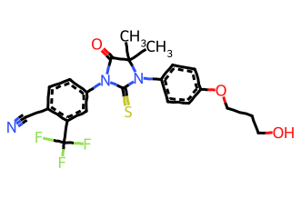 CC1(C)C(=O)N(c2ccc(C#N)c(C(F)(F)F)c2)C(=S)N1c1ccc(OCCCO)cc1